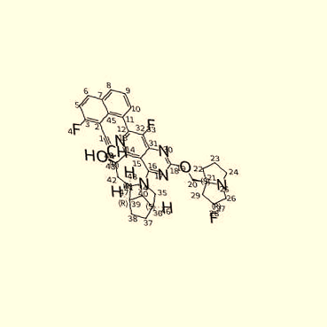 C#Cc1c(F)ccc2cccc(-c3nc4c5c(nc(OC[C@@]67CCCN6C[C@H](F)C7)nc5c3F)N3C[C@H]5CC[C@H](C5)[C@H]3C[C@H]4O)c12